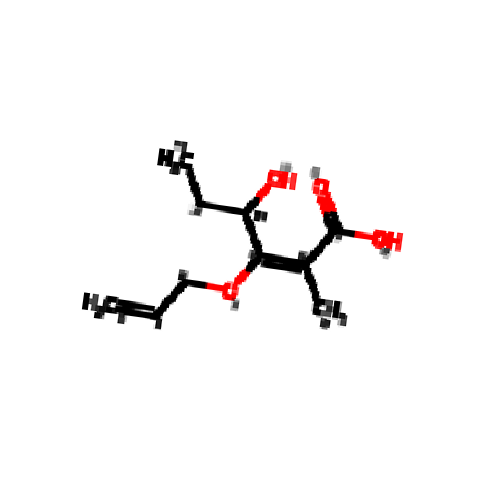 C=CCO/C(=C(\C)C(=O)O)C(O)CC